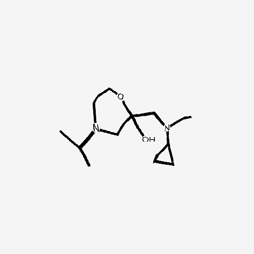 CC(C)N1CCOC(O)(CN(C)C2CC2)C1